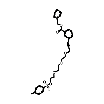 Cc1ccc(S(=O)(=O)OCCOCCOCCOCC#Cc2cccc(C(=O)OCc3ccccc3)c2)cc1